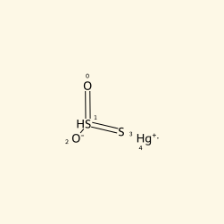 O=[SH]([O-])=S.[Hg+]